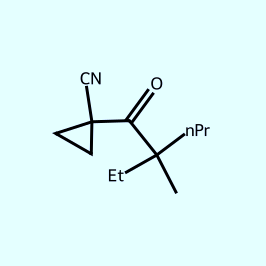 CCCC(C)(CC)C(=O)C1(C#N)CC1